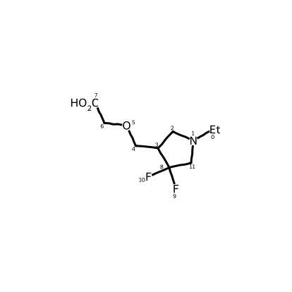 CCN1CC(COCC(=O)O)C(F)(F)C1